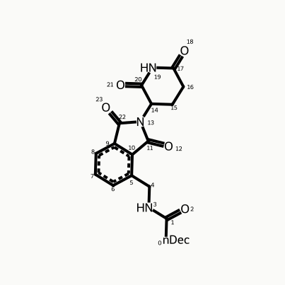 CCCCCCCCCCC(=O)NCc1cccc2c1C(=O)N(C1CCC(=O)NC1=O)C2=O